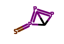 S=P1=P2=PC12